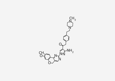 COc1ccc2c(c1)OCc1cnc(-n3cc(C(=O)Cc4ccc(CCN5CCN(C)CC5)cc4)c(N)n3)nc1-2